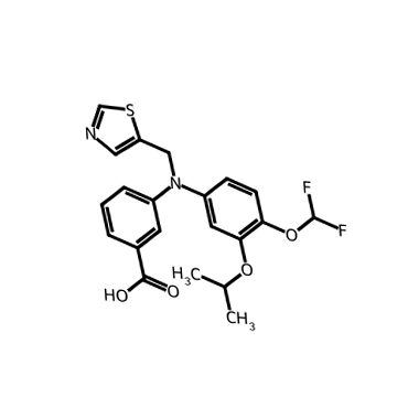 CC(C)Oc1cc(N(Cc2cncs2)c2cccc(C(=O)O)c2)ccc1OC(F)F